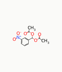 CC(=O)OC(OC(C)=O)c1cccc([N+](=O)[O-])c1